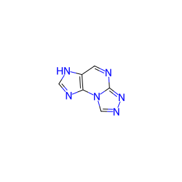 c1nc2c(cnc3nncn32)[nH]1